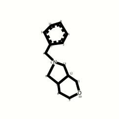 c1ccc(CN2CC3CCOCC3C2)cc1